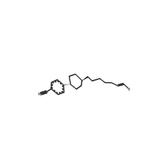 N#Cc1ccc([C@H]2CC[C@H](CCCCC/C=C/F)CC2)cc1